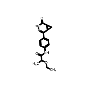 CCOC(C)C(=O)Nc1ccc(C2=NNC(=O)C3CC23)cc1